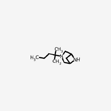 CCCC(C)(C)N1CC2CC(C1)N2